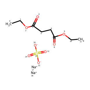 CCOC(=O)CCC(=O)OCC.O=S(=O)([O-])[O-].[Na+].[Na+]